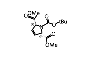 COC(=O)[C@H]1C=C[C@@H](C(=O)OC)N1C(=O)OC(C)(C)C